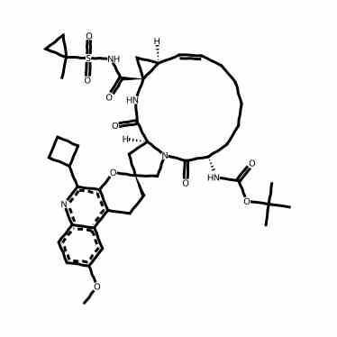 COc1ccc2nc(C3CCC3)c3c(c2c1)CC[C@]1(C[C@H]2C(=O)N[C@]4(C(=O)NS(=O)(=O)C5(C)CC5)C[C@H]4/C=C\CCCCC[C@H](NC(=O)OC(C)(C)C)C(=O)N2C1)O3